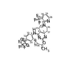 CC(Oc1nc2c(c(Nc3ccc(S(=O)(=O)C(F)(F)F)cc3)n1)CCN(c1ncccc1C(F)(F)F)CC2)C1CC1